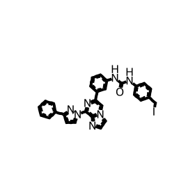 O=C(Nc1ccc(CI)cc1)Nc1cccc(-c2cn3ccnc3c(-n3ccc(-c4ccccc4)n3)n2)c1